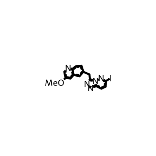 COc1cnc2ccc(Cc3nnc4ccc(I)nn34)cc2c1